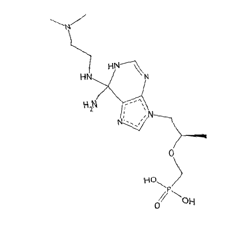 C[C@H](Cn1cnc2c1N=CNC2(N)NCCN(C)C)OCP(=O)(O)O